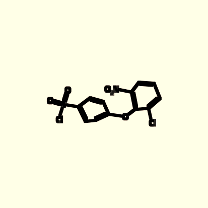 O=[N+]([O-])c1cccc(Cl)c1Oc1ccc(S(=O)(=O)Cl)cc1